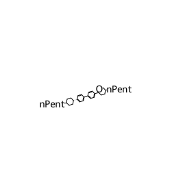 CCCCCC1CCC(c2ccc(-c3ccc([C@H]4CC[C@H](CCCCC)CC4)cc3)cc2)OC1